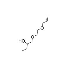 C=CCOCCOCC(O)CC